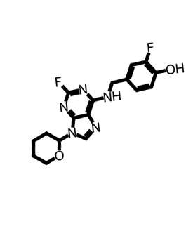 Oc1ccc(CNc2nc(F)nc3c2ncn3C2CCCCO2)cc1F